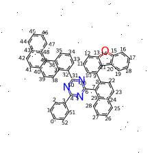 c1ccc(-c2nc(-c3c(-c4cccc5oc6ccccc6c45)ccc4ccccc34)nc(-c3cccc4c3ccc3ccc5ccccc5c34)n2)cc1